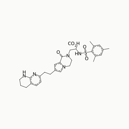 Cc1cc(C)c(S(=O)(=O)NC(CN2CCn3cc(CCc4ccc5c(n4)NCCC5)cc3C2=O)C(=O)O)c(C)c1